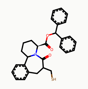 O=C(OC(c1ccccc1)c1ccccc1)[C@@H]1CCCC2c3ccccc3CC(CS)C(=O)N21